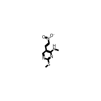 CNc1nc(SC)ncc1C=C[N+](=O)[O-]